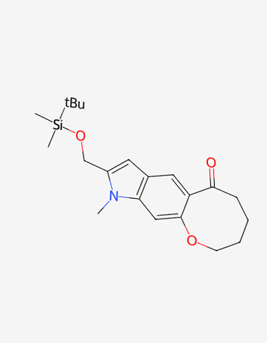 Cn1c(CO[Si](C)(C)C(C)(C)C)cc2cc3c(cc21)OCCCCC3=O